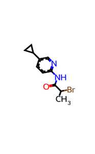 CC(Br)C(=O)Nc1ccc(C2CC2)cn1